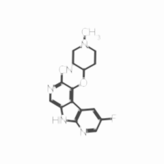 CN1CCC(Oc2c(C#N)ncc3[nH]c4ncc(F)cc4c23)CC1